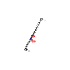 CCCCCCCCCCCCCCCCCCCC(=O)OCCN(CCO)CCCCCCCCCCCC